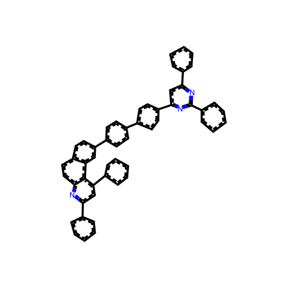 c1ccc(-c2cc(-c3ccc(-c4ccc(-c5ccc6ccc7nc(-c8ccccc8)cc(-c8ccccc8)c7c6c5)cc4)cc3)nc(-c3ccccc3)n2)cc1